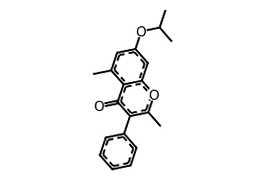 Cc1oc2cc(OC(C)C)cc(C)c2c(=O)c1-c1ccccc1